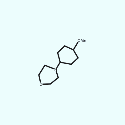 COC1CCC(N2CCOCC2)CC1